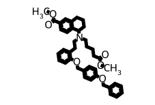 COC(=O)CCCCN(CCc1ccccc1OCc1ccc(OCc2ccccc2)cc1)C1CCCc2cc(C(=O)OC)ccc21